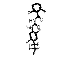 O=C(NC(=O)c1c(F)cccc1F)Nc1cc(F)c(C(F)(F)C(F)(F)F)cc1F